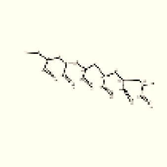 CCC(C=O)CC(C=O)CC(C=O)CC(C=O)CC(C=O)CC(C)C=O